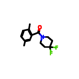 Cc1ccc(C)c(C(=O)N2CCC(F)(F)CC2)c1